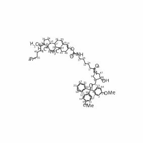 COc1ccc(C(OCC2CN(C(=O)CCCCCNC(=O)OC3=CC4CCC5C(CC[C@@]6(C)C5CC[C@@H]6C(C)CCCC(C)C)[C@@]4(C)CC3)CC2O)(c2ccccc2)c2ccc(OC)cc2)cc1